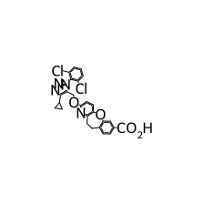 O=C(O)c1ccc2c(c1)Oc1ccc(OCc3c(C4CC4)nnn3-c3c(Cl)cccc3Cl)nc1CC2